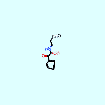 O=CCCNC(O)C(=O)c1ccccc1